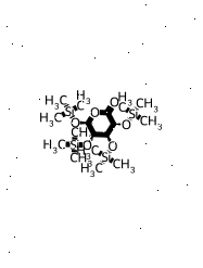 C[Si](C)(C)O[C@H]1OC(=O)[C@H](O[Si](C)(C)C)[C@@H](O[Si](C)(C)C)[C@@H]1O[Si](C)(C)C